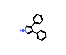 [c]1[nH]cc(-c2ccccc2)c1-c1ccccc1